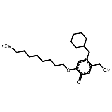 CCCCCCCCCCCCCCCCCCOc1cn(CC2CCCCC2)c(CO)cc1=O